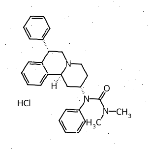 CN(C)C(=O)N(c1ccccc1)[C@H]1CCN2C[C@@H](c3ccccc3)c3ccccc3[C@@H]2C1.Cl